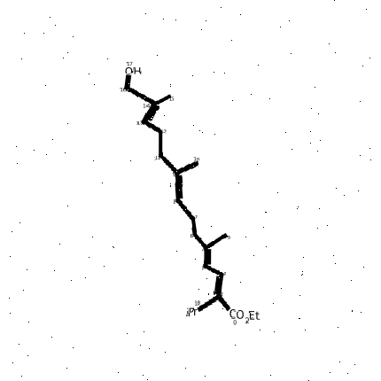 CCOC(=O)/C(=C/C=C(\C)CC/C=C(\C)CC/C=C(\C)CO)C(C)C